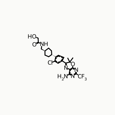 CC1(C)Oc2nc(C(F)(F)F)nc(N)c2N=C1c1ccc([C@H]2CC[C@H](CNC(=O)CO)CC2)c(Cl)c1